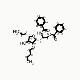 C=CC[C@@H]1O[C@H](C[C@@H](COC(=O)c2ccccc2)NC(=O)c2ccccc2)[C@H](OCCCC)C1O